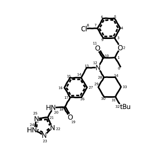 CC(Oc1cccc(Cl)c1)C(=O)N(Cc1ccc(C(=O)Nc2nn[nH]n2)cc1)C1CCC(C(C)(C)C)CC1